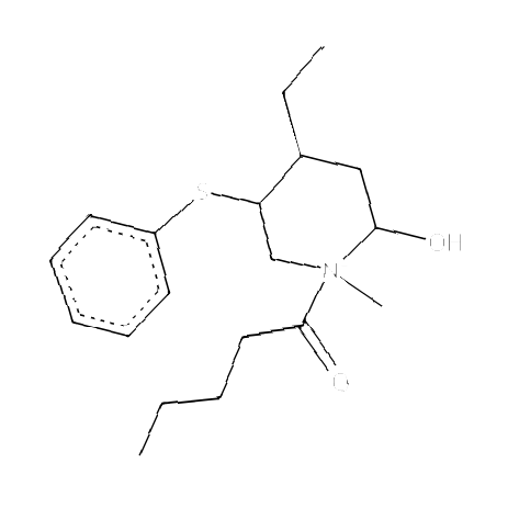 CCCCC(=O)[N+]1(C)CC(Sc2ccccc2)C(CC)CC1O